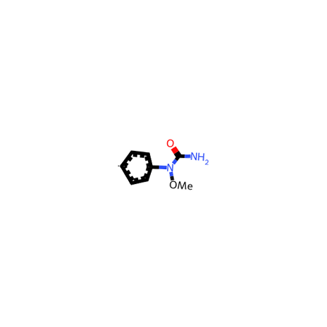 CON(C(N)=O)c1cc[c]cc1